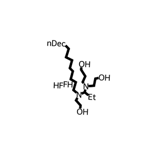 CCCCCCCCCCCCCCCCCCN(CCO)C(CC)N(CCO)CCCO.F.F